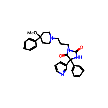 COC1(c2ccccc2)CCN(CCCN2C(=O)NC(c3ccccc3)(c3cccnc3)C2=O)CC1